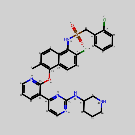 Cc1ccc2c(NS(=O)(=O)Cc3ccccc3Cl)c(F)ccc2c1Oc1ncccc1-c1ccnc(NC2CCCNC2)n1